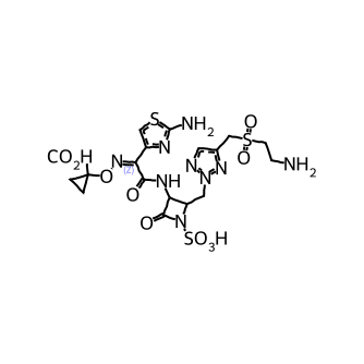 NCCS(=O)(=O)Cc1cnn(CC2C(NC(=O)/C(=N\OC3(C(=O)O)CC3)c3csc(N)n3)C(=O)N2S(=O)(=O)O)n1